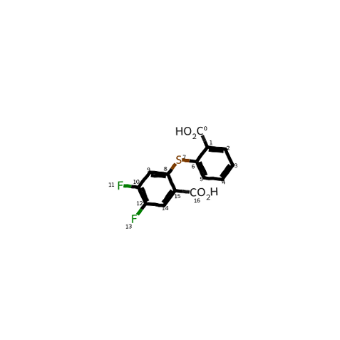 O=C(O)c1ccccc1Sc1cc(F)c(F)cc1C(=O)O